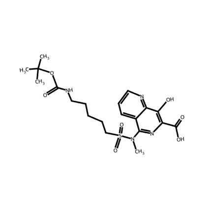 CN(c1nc(C(=O)O)c(O)c2ncccc12)S(=O)(=O)CCCCCNC(=O)OC(C)(C)C